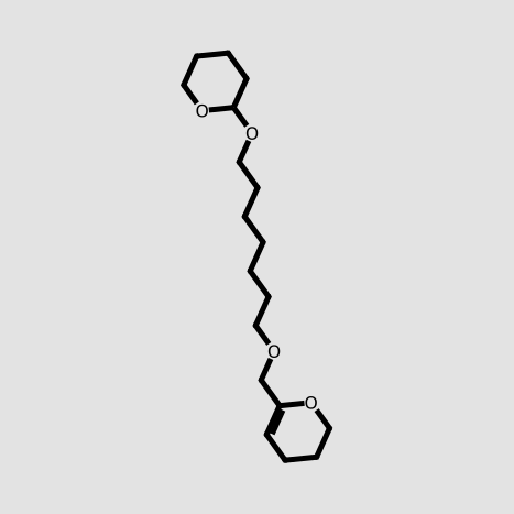 C1=C(COCCCCCCCOC2CCCCO2)OCCC1